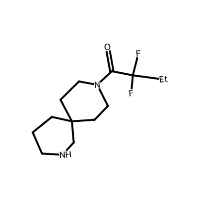 CCC(F)(F)C(=O)N1CCC2(CCCNC2)CC1